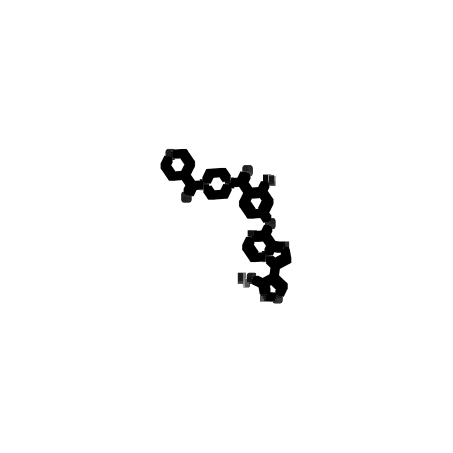 CCc1cc(Oc2nccn3c(-c4conc4C(F)(F)F)cnc23)ccc1C(=O)N1CCN(C(=O)C2CCOCC2)CC1